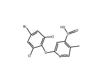 Cc1cnc(Oc2c(Cl)cc(Br)cc2Cl)cc1S(=O)O